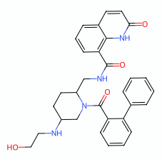 O=C(NCC1CCC(NCCO)CN1C(=O)c1ccccc1-c1ccccc1)c1cccc2ccc(=O)[nH]c12